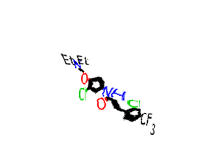 CCN(CC)CCOc1ccc(NC(=O)/C=C/c2ccc(C(F)(F)F)cc2Cl)cc1Cl